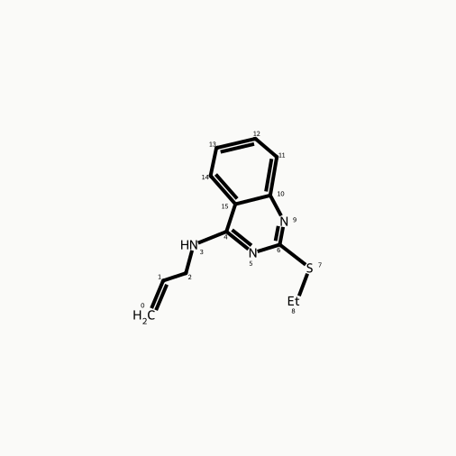 C=CCNc1nc(SCC)nc2ccccc12